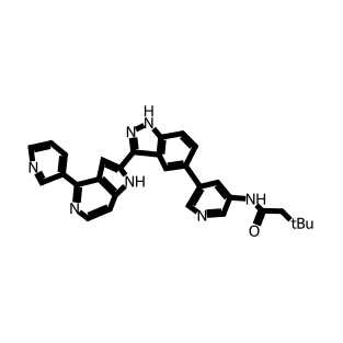 CC(C)(C)CC(=O)Nc1cncc(-c2ccc3[nH]nc(-c4cc5c(-c6cccnc6)nccc5[nH]4)c3c2)c1